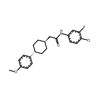 COc1ccc([C@H]2CC[C@H](CC(=O)Nc3ccc(Cl)c(F)c3)CC2)cc1